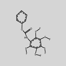 O=C(Nc1c(SF)c(SF)c(SF)c(SF)c1SF)Oc1ccccc1